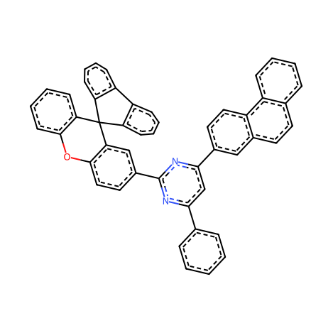 c1ccc(-c2cc(-c3ccc4c(ccc5ccccc54)c3)nc(-c3ccc4c(c3)C3(c5ccccc5O4)c4ccccc4-c4ccccc43)n2)cc1